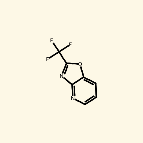 FC(F)(F)c1nc2ncccc2o1